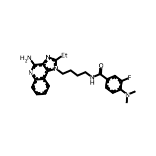 CCc1nc2c(N)nc3ccccc3c2n1CCCCNC(=O)c1ccc(N(C)C)c(F)c1